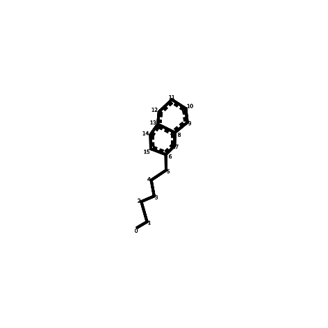 CCCCCCc1[c]c2ccccc2cc1